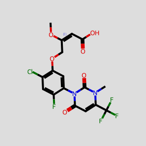 CO/C(=C/C(=O)O)COc1cc(-n2c(=O)cc(C(F)(F)F)n(C)c2=O)c(F)cc1Cl